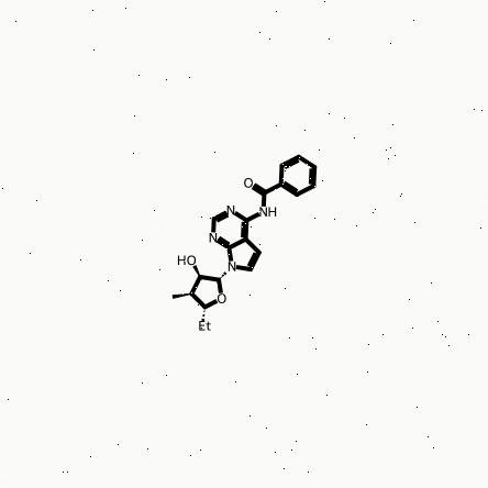 CC[C@H]1O[C@@H](n2ccc3c(NC(=O)c4ccccc4)ncnc32)[C@H](O)[C@@H]1C